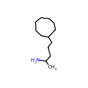 CC(N)CCCC1CCCCCCC1